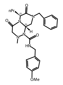 CCC[C@H]1C(=O)N(Cc2ccccc2)C[C@H]2N1C(=O)CN(C)N2C(=O)NCc1ccc(OC)cc1